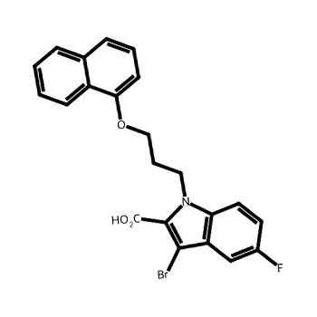 O=C(O)c1c(Br)c2cc(F)ccc2n1CCCOc1cccc2ccccc12